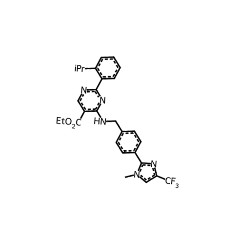 CCOC(=O)c1cnc(-c2ccccc2C(C)C)nc1NCc1ccc(-c2nc(C(F)(F)F)cn2C)cc1